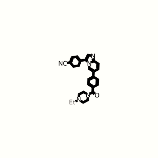 CCN1CCN(C(=O)c2ccc(-c3ccc4ncc(C5=CC=C(C#N)CC5)n4c3)cc2)CC1